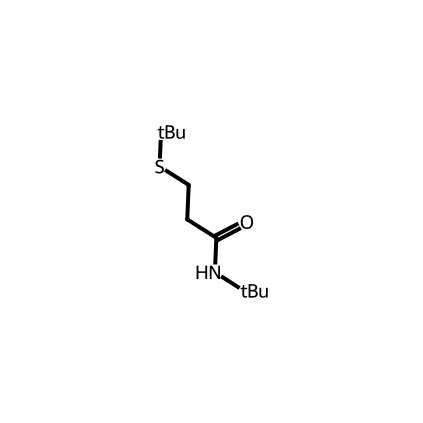 CC(C)(C)NC(=O)CCSC(C)(C)C